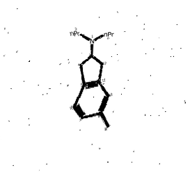 CCCN(CCC)C1Cc2ccc(C)cc2C1